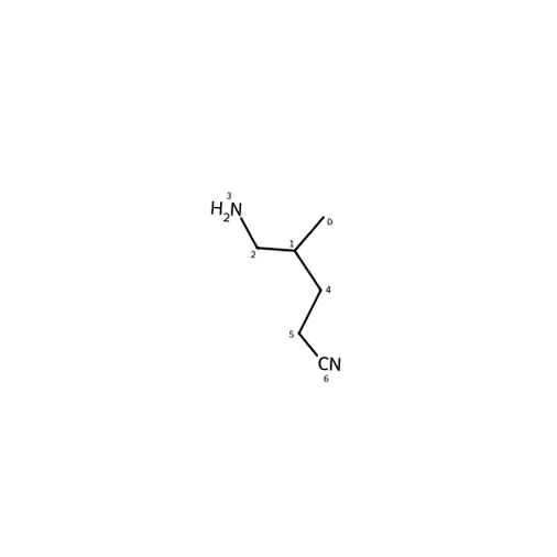 CC(CN)CCC#N